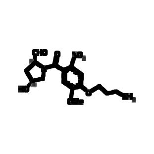 COc1cc(C(=O)N2C[C@H](O)C[C@H]2C=O)c([N+](=O)[O-])cc1OCCCN